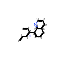 C=C/C=C(\C=C)c1cccc2cccnc12